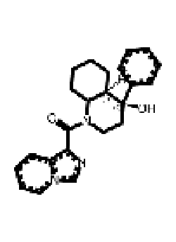 O=C(c1ncn2ccccc12)N1CC[C@@](O)(c2ccccc2)[C@@H]2CCCCC21